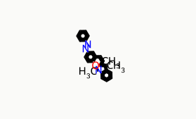 CN1c2ccccc2C(C)(C)C12C=Cc1cc(N=Nc3ccccc3)ccc1O2